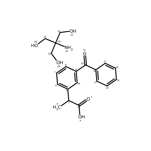 CC(C(=O)O)c1cccc(C(=O)c2ccccc2)c1.NC(CO)(CO)CO